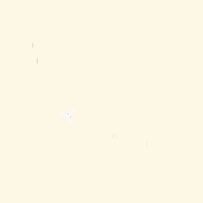 CC1(C)c2ccccc2-c2ccc(-c3cc(-c4ccc5c(c4)C(C)(C)c4ccccc4-5)cc(N(c4ccccc4)c4ccc(-c5ccccc5)cc4)c3)cc21